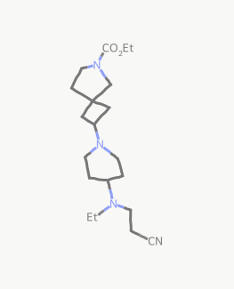 CCOC(=O)N1CCC2(CC(N3CCC(N(CC)CCC#N)CC3)C2)C1